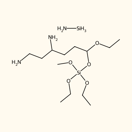 CCOC(CCC(N)CCN)O[Si](OC)(OCC)OCC.N[SiH3]